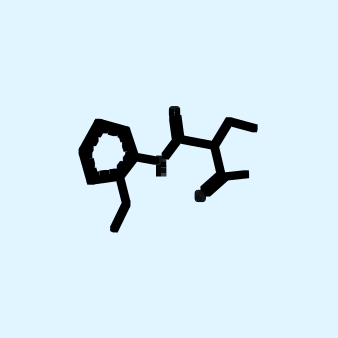 CCc1ccccc1NC(=O)C(CC)C(C)=O